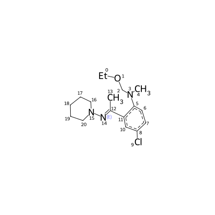 CCOCN(C)c1ccc(Cl)cc1/C(C)=N/N1CCCCC1